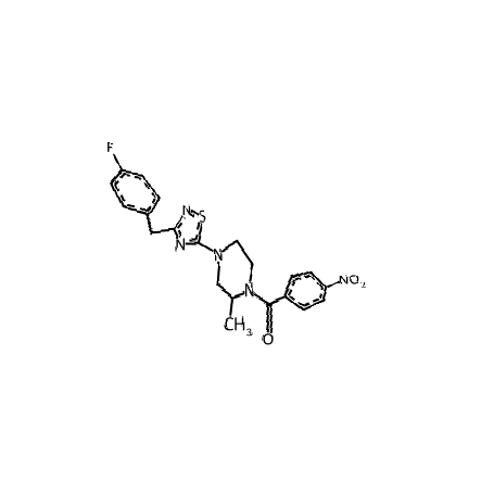 CC1CN(c2nc(Cc3ccc(F)cc3)ns2)CCN1C(=O)c1ccc([N+](=O)[O-])cc1